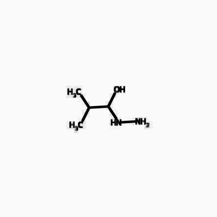 CC(C)C(O)NN